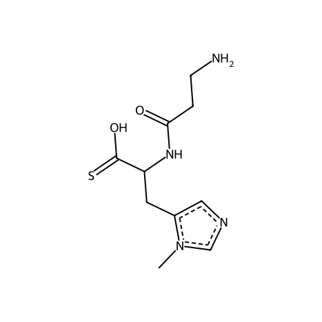 Cn1cncc1CC(NC(=O)CCN)C(O)=S